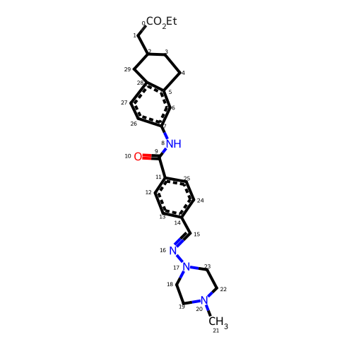 CCOC(=O)CC1CCc2cc(NC(=O)c3ccc(C=NN4CCN(C)CC4)cc3)ccc2C1